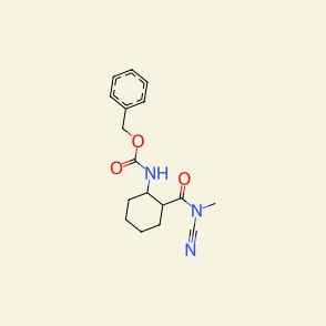 CN(C#N)C(=O)C1CCCCC1NC(=O)OCc1ccccc1